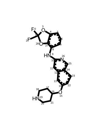 FC1(F)Oc2cccc(Nc3cc4cc(OC5CCNCC5)ccc4cn3)c2O1